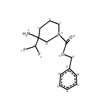 NC1(C(F)F)CCCN(C(=O)OCc2ccccc2)C1